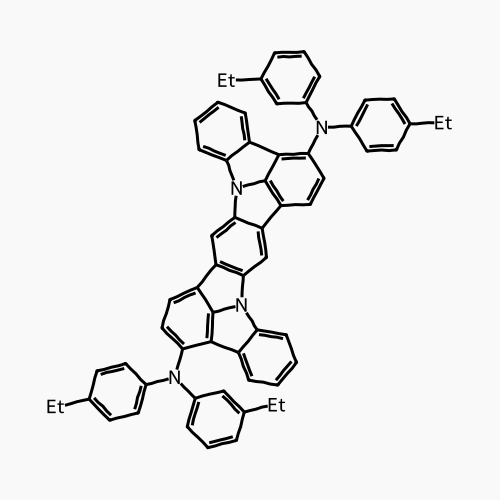 CCc1ccc(N(c2cccc(CC)c2)c2ccc3c4cc5c(cc4n4c6ccccc6c2c34)c2ccc(N(c3ccc(CC)cc3)c3cccc(CC)c3)c3c4ccccc4n5c23)cc1